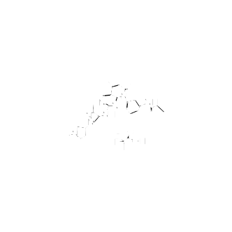 C=CC(=O)Nc1cccc(-n2c(=O)cc(C)c3cnc(Nc4cn(C5CCN(C)C5)nc4C)nc32)c1.O=C(O)C(F)(F)F